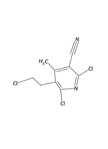 Cc1c(C#N)c(Cl)nc(Cl)c1CCCl